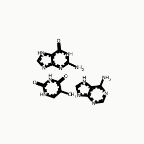 Cc1c[nH]c(=O)[nH]c1=O.Nc1nc2nc[nH]c2c(=O)[nH]1.Nc1ncnc2nc[nH]c12